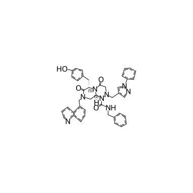 O=C1[C@H](Cc2ccc(O)cc2)N2C(=O)CN(Cc3cnn(-c4ccccc4)c3)N(C(=O)NCc3ccccc3)[C@H]2CN1Cc1cccc2ncccc12